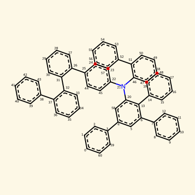 c1ccc(-c2cc(-c3ccccc3)c(-c3ccccc3)c(N(c3ccc(-c4ccccc4-c4ccccc4-c4ccccc4)cc3)c3ccccc3-c3ccccc3)c2)cc1